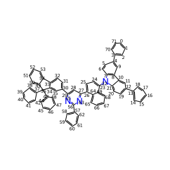 c1ccc(-c2ccc3c(c2)c2cc(-c4ccccc4)ccc2n3-c2ccc(-c3cc(-c4ccc5c(c4)C(c4ccccc4)(c4ccccc4)c4ccccc4-5)nc(-c4ccccc4)n3)c3ccccc23)cc1